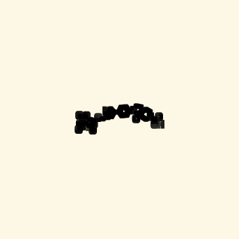 CS(=O)(=O)[Si](CCOCn1cc(-c2ccc(N3CCC4(CCN(C(=O)O)CC4)C3=O)cc2)cn1)(S(C)(=O)=O)S(C)(=O)=O